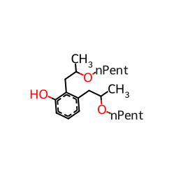 CCCCCOC(C)Cc1cccc(O)c1CC(C)OCCCCC